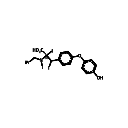 CC(C)CN(I)[C@](I)(C(=O)O)C(I)c1ccc(Oc2ccc(O)cc2)cc1